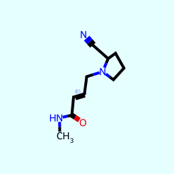 CNC(=O)/C=C/CN1CCCC1C#N